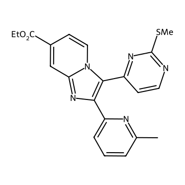 CCOC(=O)c1ccn2c(-c3ccnc(SC)n3)c(-c3cccc(C)n3)nc2c1